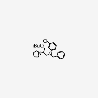 CC(C)COCC(CN(Cc1ccccc1)c1cccc(Cl)c1)N1CCCC1